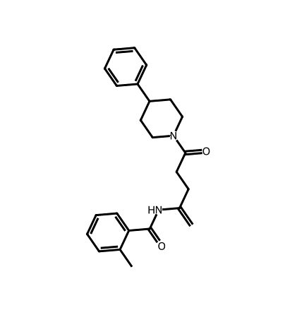 C=C(CCC(=O)N1CCC(c2ccccc2)CC1)NC(=O)c1ccccc1C